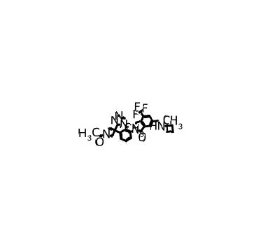 CC(=O)N1CC(c2cccc(N3Cc4c(cc(CNC5(C)CCC5)cc4C(F)(F)F)C3=O)c2)(c2nncn2C)C1